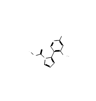 COc1cc(Cl)ncc1-c1cccn1C(=O)OC(C)(C)C